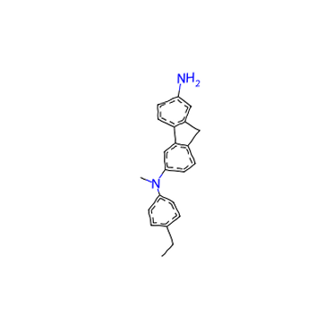 CCc1ccc(N(C)c2ccc3c(c2)-c2ccc(N)cc2C3)cc1